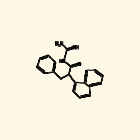 N=C(N)NC(=O)C(Cc1ccccc1)c1cccc2ccccc12